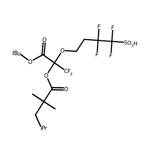 CC(C)CC(C)(C)C(=O)OC(OCCC(F)(F)C(F)(F)S(=O)(=O)O)(C(=O)OC(C)(C)C)C(F)(F)F